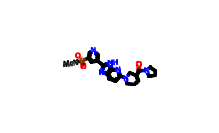 CNS(=O)(=O)c1cncc(-c2nc3ccc(N4CCCC(C(=O)N5CCCC5)C4)nc3[nH]2)c1